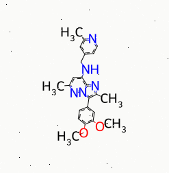 COc1ccc(-c2c(C)nc3c(NCc4ccnc(C)c4)cc(C)nn23)cc1OC